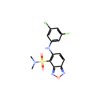 CN(C)S(=O)(=O)c1c(Nc2cc(F)cc(Cl)c2)ccc2nonc12